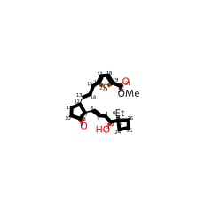 CCC1(C(O)C/C=C/[C@H]2C(=O)CC[C@@H]2CCCc2ccc(C(=O)OC)s2)CCC1